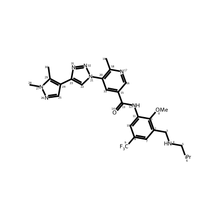 COc1c(CNCC(C)C)cc(C(F)(F)F)cc1NC(=O)c1cnc(C)c(-n2cc(-c3cnn(C)c3C)nn2)c1